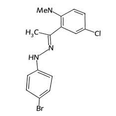 CNc1ccc(Cl)cc1/C(C)=N/Nc1ccc(Br)cc1